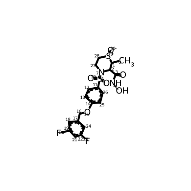 CC1C(C(=O)NO)N(S(=O)(=O)c2ccc(OCc3cc(F)cc(F)c3)cc2)CC[S+]1[O-]